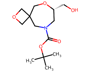 CC(C)(C)OC(=O)N1C[C@@H](CO)OCC2(COC2)C1